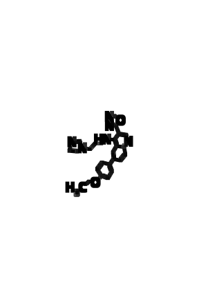 CCOc1ccc(-c2ccc3ncc(-c4nnco4)c(NCCCn4ccnc4)c3c2)cc1